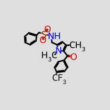 Cc1cc(CNS(=O)(=O)Cc2ccccc2)n(C)c1C(=O)c1ccc(C(F)(F)F)cc1